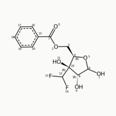 O=C(OC[C@H]1OC(O)[C@H](O)[C@]1(O)C(F)F)c1ccccc1